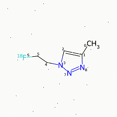 Cc1cn(CC[18F])nn1